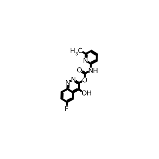 Cc1cccc(NC(=O)Oc2nnc3ccc(F)cc3c2O)n1